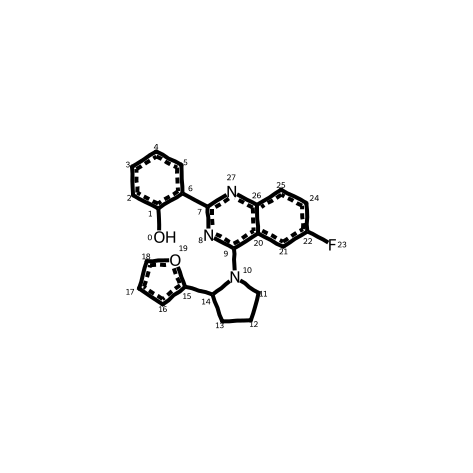 Oc1ccccc1-c1nc(N2CCCC2c2ccco2)c2cc(F)ccc2n1